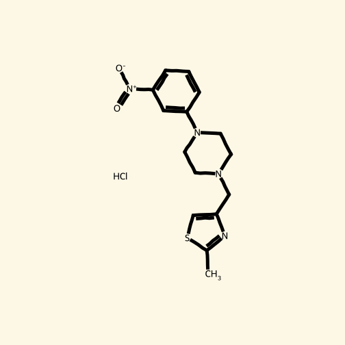 Cc1nc(CN2CCN(c3cccc([N+](=O)[O-])c3)CC2)cs1.Cl